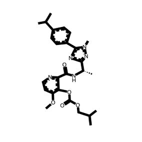 COc1ccnc(C(=O)N[C@@H](C)c2nc(-c3ccc(C(C)C)cc3)n(C)n2)c1OC(=O)OCC(C)C